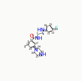 Cc1cc(C(=O)NCCNc2ccc(F)cc2)cc(N2CCNCC2)c1